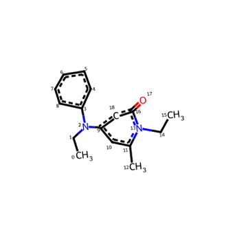 CCN(c1ccccc1)c1cc(C)n(CC)c(=O)c1